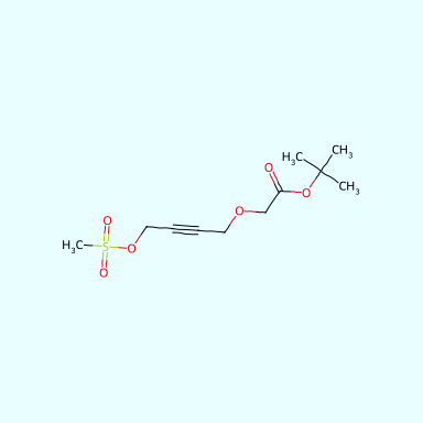 CC(C)(C)OC(=O)COCC#CCOS(C)(=O)=O